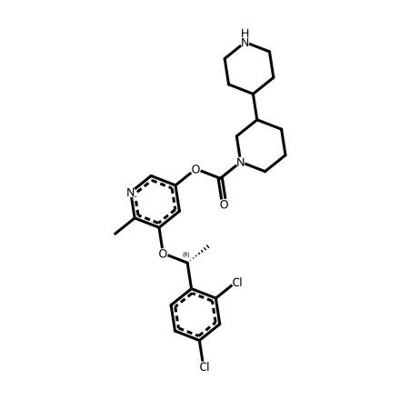 Cc1ncc(OC(=O)N2CCCC(C3CCNCC3)C2)cc1O[C@H](C)c1ccc(Cl)cc1Cl